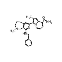 Cc1cc2c(C(N)=O)cccn2c1-c1nc2c(c(NCc3ccccc3)n1)CN(C)CCC2